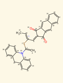 C=C(S/C(C=C1C(=O)c2cc3ccccc3cc2C1=O)=C\C)N1c2ccccc2Cc2ccccc21